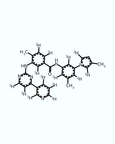 [2H]c1nc(Nc2c([2H])c(C(=O)Nc3c([2H])c(C)c([2H])c(-n4c([2H])cc(C)c4[2H])c3[2H])c([2H])c([2H])c2C)nc(-c2c([2H])nc([2H])c([2H])c2[2H])c1[2H]